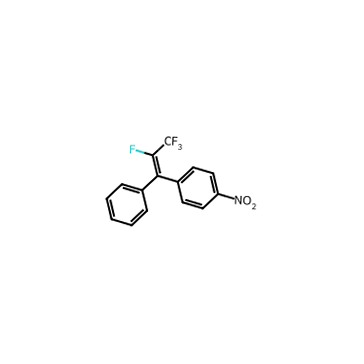 O=[N+]([O-])c1ccc(/C(=C(/F)C(F)(F)F)c2ccccc2)cc1